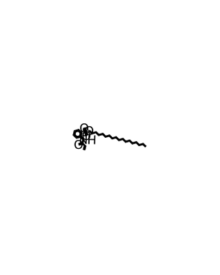 C=CC(=O)Nc1ccccc1S(=O)(=O)OCCCCCCCCCCCCCCCCC